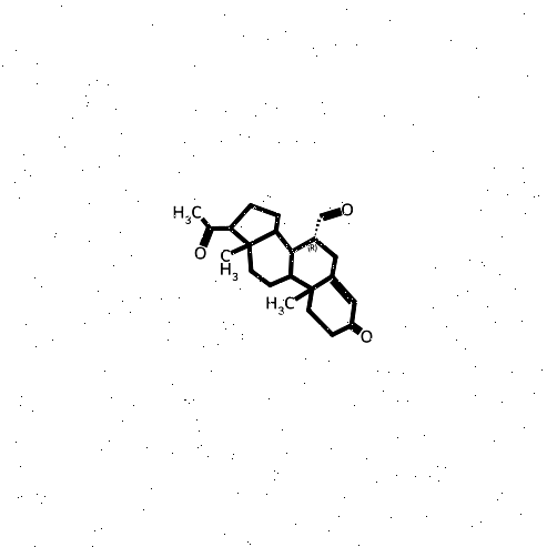 CC(=O)C1CCC2C3C(CCC12C)C1(C)CCC(=O)C=C1C[C@H]3C=O